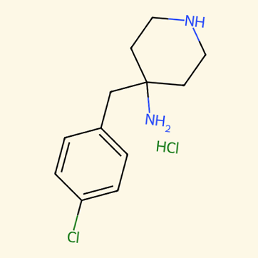 Cl.NC1(Cc2ccc(Cl)cc2)CCNCC1